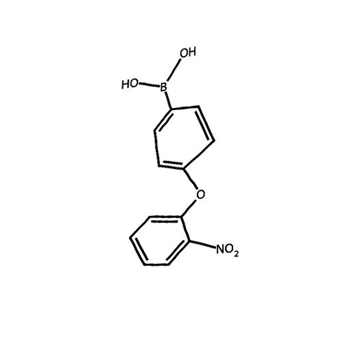 O=[N+]([O-])c1ccccc1Oc1ccc(B(O)O)cc1